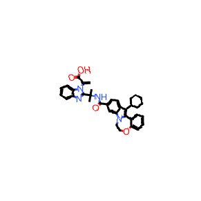 CC(C(=O)O)n1c(C(C)(C)NC(=O)c2ccc3c(C4CCCCC4)c4n(c3c2)CCOc2ccccc2-4)nc2ccccc21